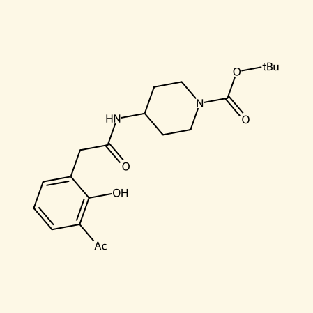 CC(=O)c1cccc(CC(=O)NC2CCN(C(=O)OC(C)(C)C)CC2)c1O